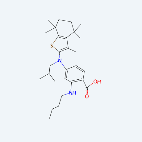 CCCCNc1cc(N(CC(C)C)c2sc3c(c2C)C(C)(C)CCC3(C)C)ccc1C(=O)O